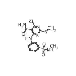 CNS(=O)(=O)c1cccc(Nc2nc(SC)nc(Cl)c2C(N)=O)c1